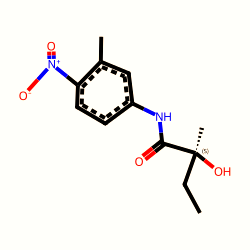 CC[C@](C)(O)C(=O)Nc1ccc([N+](=O)[O-])c(C)c1